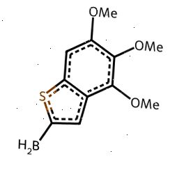 Bc1cc2c(OC)c(OC)c(OC)cc2s1